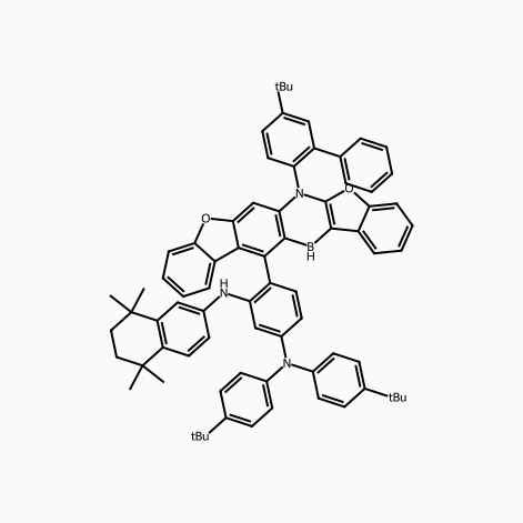 CC(C)(C)c1ccc(N(c2ccc(C(C)(C)C)cc2)c2ccc(-c3c4c(cc5oc6ccccc6c35)N(c3ccc(C(C)(C)C)cc3-c3ccccc3)c3oc5ccccc5c3B4)c(Nc3ccc4c(c3)C(C)(C)CCC4(C)C)c2)cc1